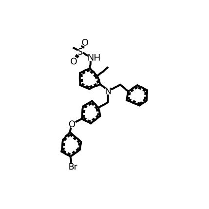 Cc1c(NS(C)(=O)=O)cccc1N(Cc1ccccc1)Cc1ccc(Oc2ccc(Br)cc2)cc1